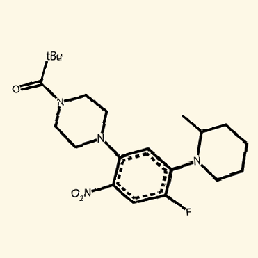 CC1CCCCN1c1cc(N2CCN(C(=O)C(C)(C)C)CC2)c([N+](=O)[O-])cc1F